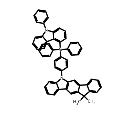 CC1(C)c2ccccc2-c2cc3c(cc21)c1ccccc1n3-c1ccc([Si](c2ccccc2)(c2ccccc2)c2cccc3c2c2ccccc2n3-c2ccccc2)cc1